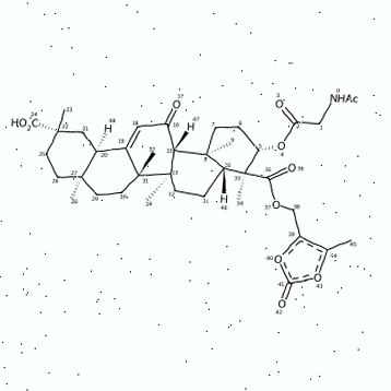 CC(=O)NCC(=O)O[C@H]1CC[C@@]2(C)[C@@H](CC[C@]3(C)[C@@H]2C(=O)C=C2[C@@H]4C[C@@](C)(C(=O)O)CC[C@]4(C)CC[C@]23C)[C@]1(C)C(=O)OCc1oc(=O)oc1C